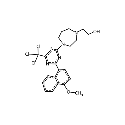 COc1ccc(-c2nc(N3CCCN(CCO)CC3)nc(C(Cl)(Cl)Cl)n2)c2ccccc12